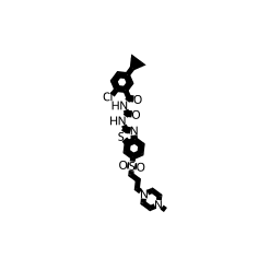 CN1CCN(CCCS(=O)(=O)c2ccc3nc(NC(=O)NC(=O)c4cc(C5CC5)ccc4Cl)sc3c2)CC1